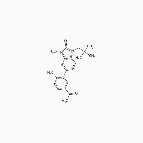 CC(=O)c1ccc(C)c(-c2ccc3c(n2)n(C)c(=O)n3CC(C)(C)C)c1